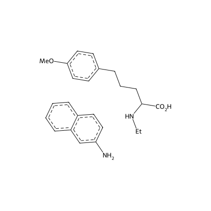 CCNC(CCCc1ccc(OC)cc1)C(=O)O.Nc1ccc2ccccc2c1